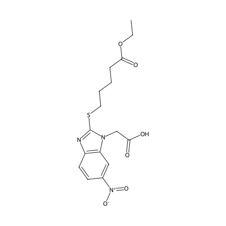 CCOC(=O)CCCCSc1nc2ccc([N+](=O)[O-])cc2n1CC(=O)O